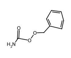 NC(=O)OOCc1ccccc1